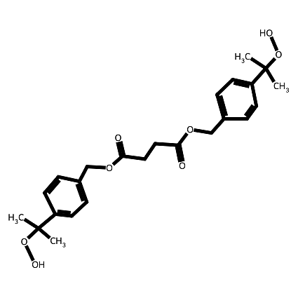 CC(C)(OO)c1ccc(COC(=O)CCC(=O)OCc2ccc(C(C)(C)OO)cc2)cc1